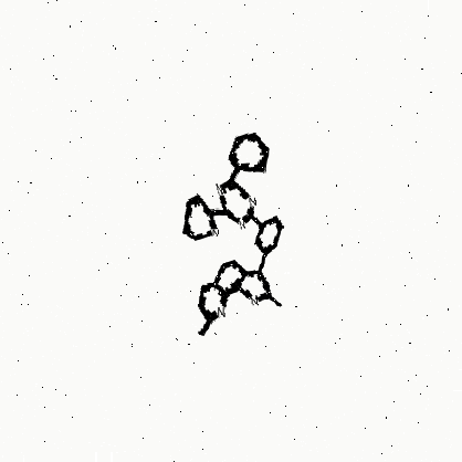 Cc1ccc2ccc3c(-c4cccc(-c5nc(-c6ccccc6)nc(-c6ccccn6)n5)c4)cc(C)nc3c2n1